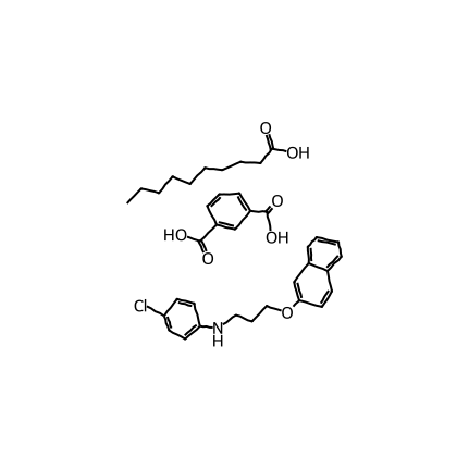 CCCCCCCCCC(=O)O.Clc1ccc(NCCCOc2ccc3ccccc3c2)cc1.O=C(O)c1cccc(C(=O)O)c1